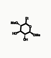 CCC1O[C@@H](OC)[C@H](O)[C@@H](O)[C@@H]1OC